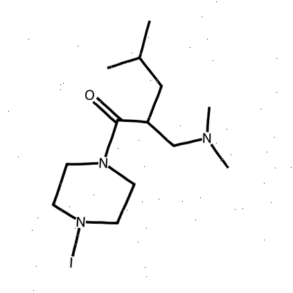 CC(C)CC(CN(C)C)C(=O)N1CCN(I)CC1